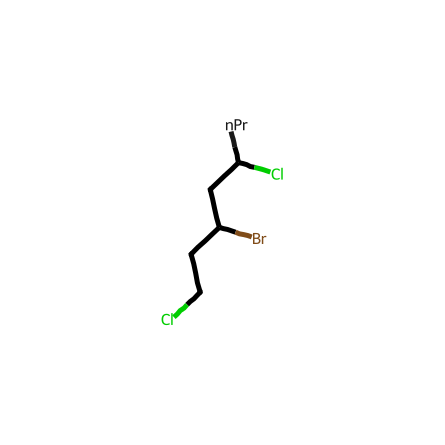 [CH2]CCC(Cl)CC(Br)CCCl